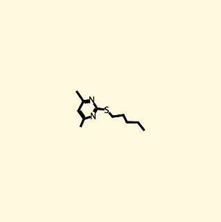 CCCCCSc1nc(C)cc(C)n1